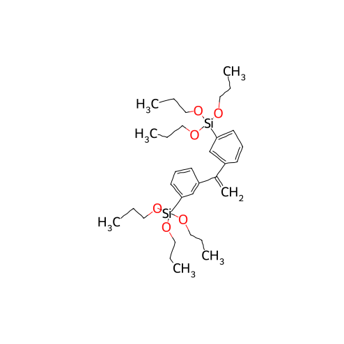 C=C(c1cccc([Si](OCCC)(OCCC)OCCC)c1)c1cccc([Si](OCCC)(OCCC)OCCC)c1